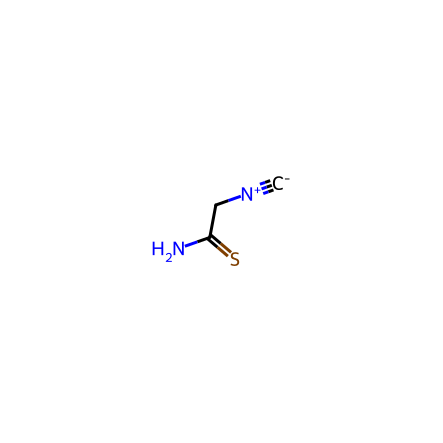 [C-]#[N+]CC(N)=S